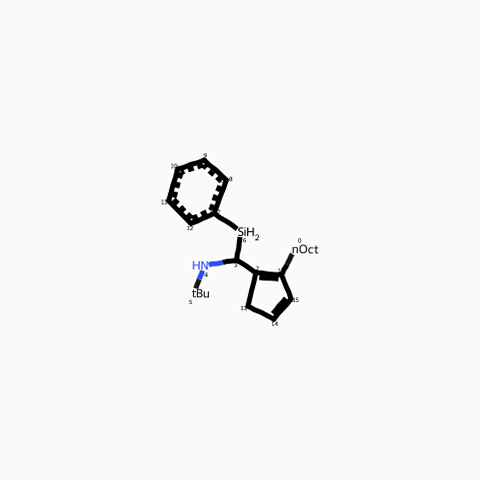 CCCCCCCCC1=C(C(NC(C)(C)C)[SiH2]c2ccccc2)CC=C1